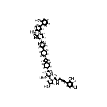 Cc1cc(Cl)ccc1C#CCNC(=O)[C@@H]1C[C@@H](O)CN1C(=O)[C@@H](NC(=O)[C@H]1CCC2(CC1)C[C@H](N1CCC(c3cnc(N4CCN5c6cc(-c7ccccc7O)nnc6NC[C@H]5C4)nc3)CC1)C2)C(C)(C)C